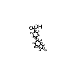 Cc1cc2cc(-c3ccc(C(=O)O)cc3)ccc2s1